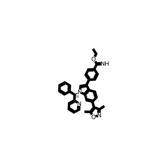 CCOC(=N)c1ccc(-c2cn([C@@H](c3ccccc3)c3ccccn3)c3cc(-c4c(C)noc4C)ccc23)cc1